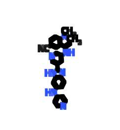 C=Nc1ccc(C#N)cc1/C(=C\C)Nc1cncc(-c2nc3ccc(Nc4ccncc4)cc3[nH]2)c1